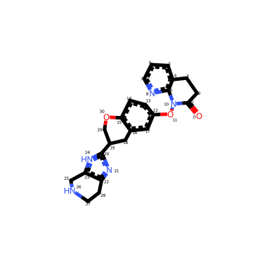 O=C1CCc2cccnc2N1Oc1ccc2c(c1)CC(c1nc3c([nH]1)CNCC3)CO2